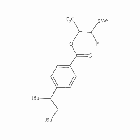 CSC(F)C(OC(=O)c1ccc(C(CC(C)(C)C)C(C)(C)C)cc1)C(F)(F)F